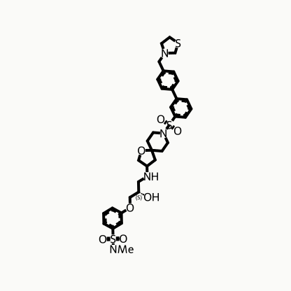 CNS(=O)(=O)c1cccc(OC[C@@H](O)CNC2COC3(CCN(S(=O)(=O)c4cccc(-c5ccc(CN6CCSC6)cc5)c4)CC3)C2)c1